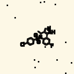 CC1c2cn[nH]c2-c2cc(F)ccc2N1S(=O)(=O)c1ccc(Cl)cc1